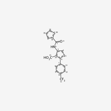 O=C(Nc1csc(-c2ccc(C(F)(F)F)cc2)c1C(=O)O)c1cccs1